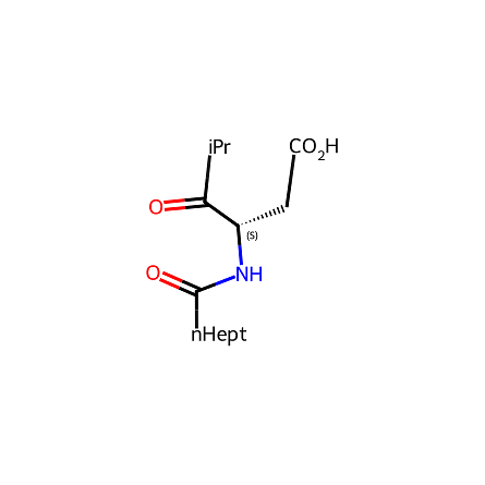 CCCCCCCC(=O)N[C@@H](CC(=O)O)C(=O)C(C)C